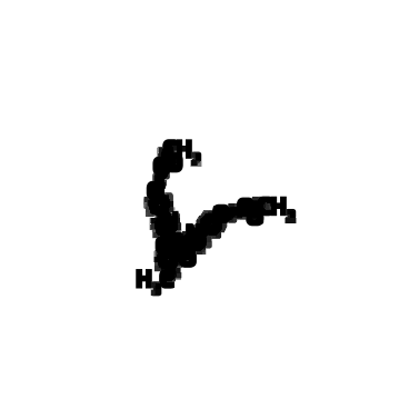 C=CC(=O)OCCCOc1ccc(-c2ccc(C(=O)Oc3ccc(CC)cc3OC(=O)c3ccc(-c4ccc(OCCCOC(=O)C=C)cc4)nc3)cn2)cc1